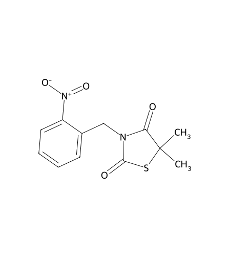 CC1(C)SC(=O)N(Cc2ccccc2[N+](=O)[O-])C1=O